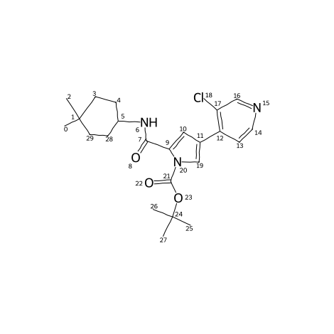 CC1(C)CCC(NC(=O)c2cc(-c3ccncc3Cl)cn2C(=O)OC(C)(C)C)CC1